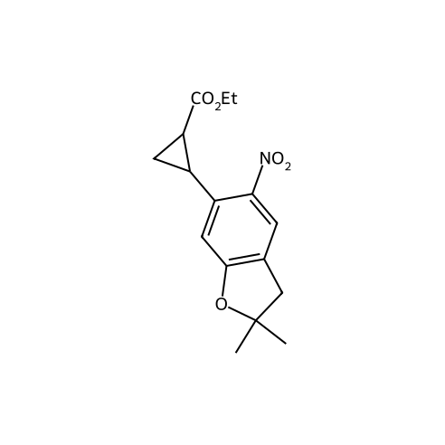 CCOC(=O)C1CC1c1cc2c(cc1[N+](=O)[O-])CC(C)(C)O2